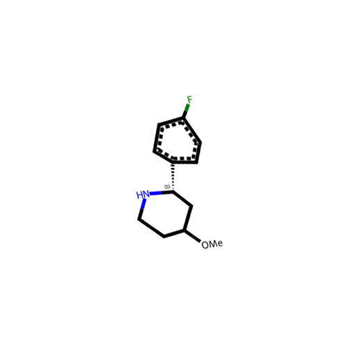 COC1CCN[C@H](c2ccc(F)cc2)C1